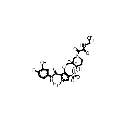 Cc1cc(NC(=O)c2c3c(cn2C)S(=O)(=O)N[C@@H]2CCN(C(=O)C(=O)NCC(F)(F)F)C[C@H]2CO3)ccc1F